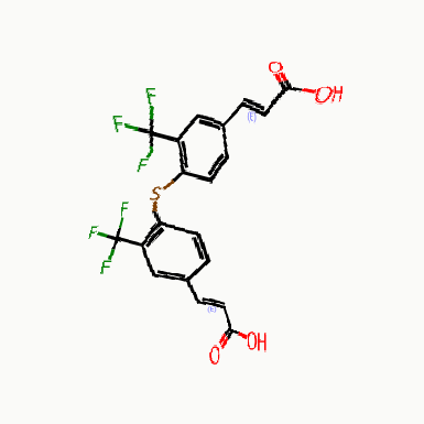 O=C(O)/C=C/c1ccc(Sc2ccc(/C=C/C(=O)O)cc2C(F)(F)F)c(C(F)(F)F)c1